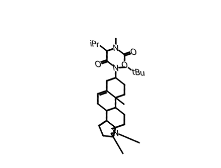 CC(C)C(C(=O)N(C)C1CCC2(C)C(=CCC3C2CCC24CN(C)C(C)C2CCC34)C1)N(C)C(=O)OC(C)(C)C